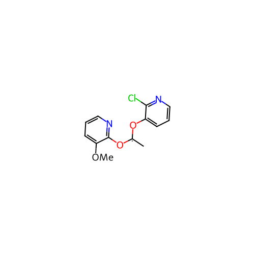 COc1cccnc1O[C](C)Oc1cccnc1Cl